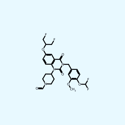 COc1cc(Cn2c(=O)c3cc(OC(CF)CF)ccc3n(C3CCN(C=O)CC3)c2=O)ccc1OC(F)F